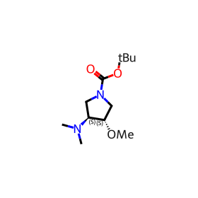 CO[C@H]1CN(C(=O)OC(C)(C)C)C[C@@H]1N(C)C